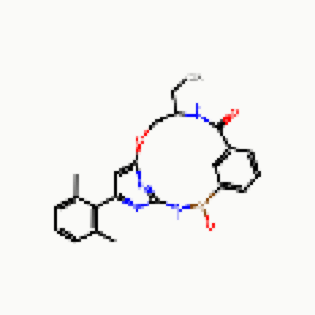 Cc1cccc(C)c1-c1cc2nc(n1)N[S+]([O-])c1cccc(c1)C(=O)N[C@H](CC(C)(C)C)CO2